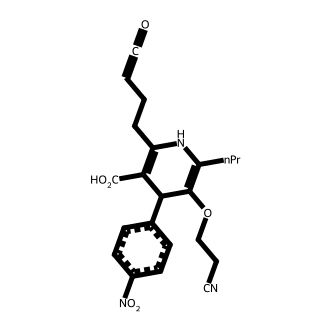 CCCC1=C(OCCC#N)C(c2ccc([N+](=O)[O-])cc2)C(C(=O)O)=C(CCC=C=O)N1